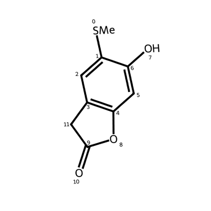 CSc1cc2c(cc1O)OC(=O)C2